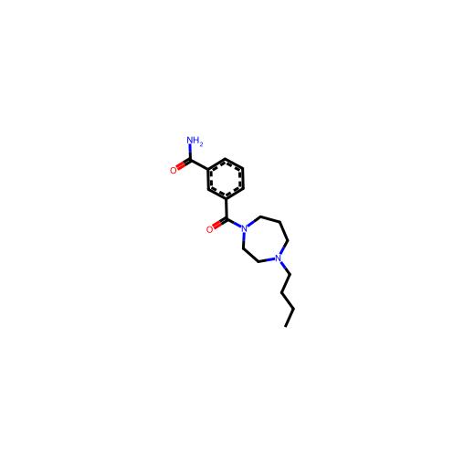 CCCCN1CCCN(C(=O)c2cccc(C(N)=O)c2)CC1